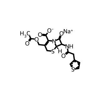 CC(=O)OCC1=C(C(=O)[O-])N2C(=O)C(NC(=O)Cc3ccsc3)[C@@H]2SC1.[Na+]